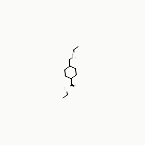 CCNCC1CCC(C(=O)OCC)CC1